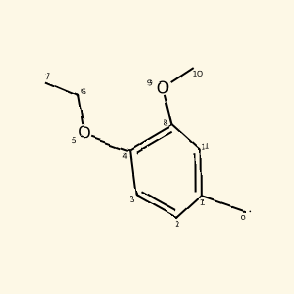 [CH2]c1ccc(OCC)c(OC)c1